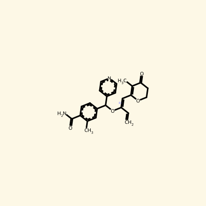 C=C/C(=C\C1=C(C)C(=O)CCO1)OC(c1ccncc1)c1ccc(C(N)=O)c(C)c1